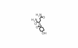 NC(=O)CCC(C(N)=O)N1CC2(CCC(O)CC2)C1=O